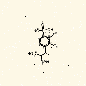 CNC(Cc1ccc(P(=O)(O)O)c(F)c1F)C(=O)O